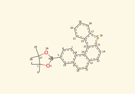 CC1(C)OB(c2ccc3c(ccc4ccc5sc6ccccc6c5c43)c2)OC1(C)C